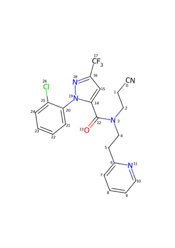 N#CCCN(CCc1ccccn1)C(=O)c1cc(C(F)(F)F)nn1-c1ccccc1Cl